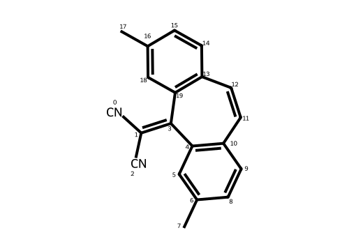 [C-]#[N+]C(C#N)=C1c2cc(C)ccc2C=Cc2ccc(C)cc21